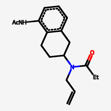 C=CCN(C(=O)CC)C1CCc2c(cccc2NC(C)=O)C1